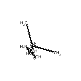 CCCCCCCCCCCCCCCC(=O)OC(C(=O)CCCCCCCCCCCCCCC)C(O)CO.NCCc1c[nH]cn1.O=C(O)CCC(=O)O